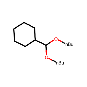 CCCCOC(OCCCC)C1CCCCC1